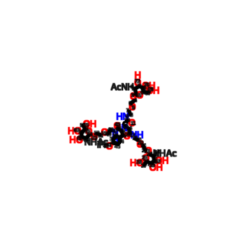 CC(=O)NC1C(OCCOCCNC(=O)CN(CC(=O)NCCOCCOC2OC(CO)C(O)C(O)C2NC(C)=O)C(Cc2ccc(OC(C)C)cc2)C(=O)NCCOCCOC2OC(CO)C(O)C(O)C2NC(C)=O)OC(CO)C(O)C1O